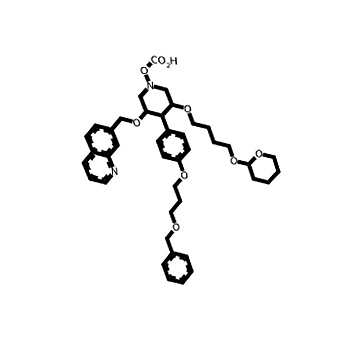 O=C(O)ON1CC(OCCCCOC2CCCCO2)C(c2ccc(OCCCOCc3ccccc3)cc2)C(OCc2ccc3cccnc3c2)C1